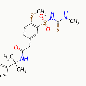 CNC(=S)NS(=O)(=O)c1cc(CC(=O)NC(C)(C)c2ccsc2)ccc1SC